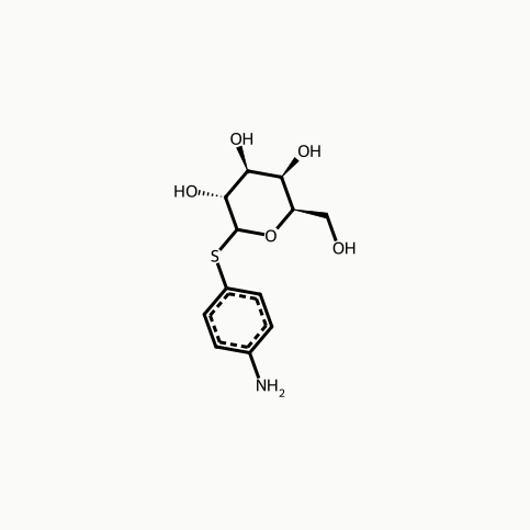 Nc1ccc(SC2O[C@H](CO)[C@H](O)[C@H](O)[C@H]2O)cc1